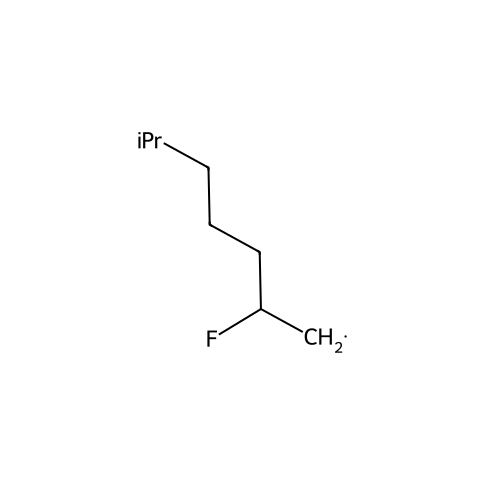 [CH2]C(F)CCCC(C)C